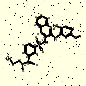 COc1ccc(Cl)c(Nc2nc3ccccc3nc2NS(=O)(=O)c2cccc(C(=O)N(C)CCN)c2)c1